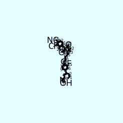 C\C=C/C(=C\C=N\O)c1ccc(OCCCN2C(=O)N(c3ccc(C#N)c(Cl)c3C)C(=O)C2(C)C)c(F)c1